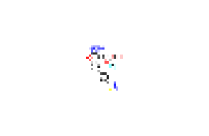 O=C(O)C(F)(F)F.O=C(O)c1[nH]nnc1O[C@H]1CC[C@H](c2ccc(-c3nncs3)cc2)CC1